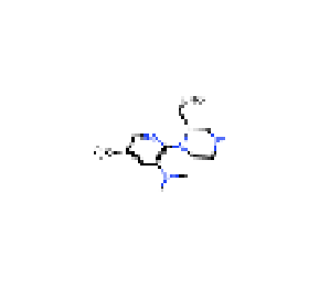 CN(C)c1cc(C(F)(F)F)cnc1N1CCNCC1CC=O